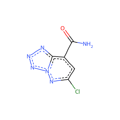 NC(=O)c1cc(Cl)nn2nnnc12